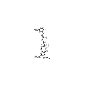 COc1cc2c(cc1OC)CCC(O)(CCCNCCc1cccc(O)c1)CC2